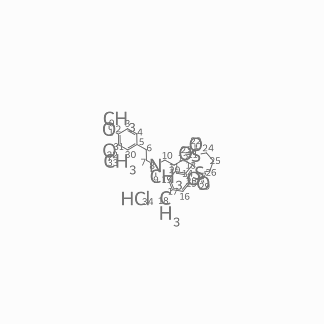 COc1ccc(CCN(C)CCCC2(c3ccc(C)cc3)S(=O)(=O)CCCS2(=O)=O)cc1OC.Cl